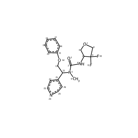 CN(C(=O)NC1COCC1(F)F)C(COc1ccccc1)c1ccncc1